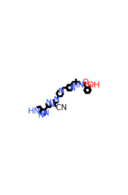 CC(C)(CNC(=O)c1ccccc1O)Cc1cc(CN2CCC(N3CC(CC#N)(n4cc(-c5ncnc6[nH]ccc56)cn4)C3)CC2)ccn1